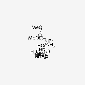 COCCCOc1cc(C[C@@H](C[C@H](N)[C@@H](O)CNc2c(NCC(C)(C)CNC(C)=O)c(=O)c2=O)C(C)C)ccc1OC